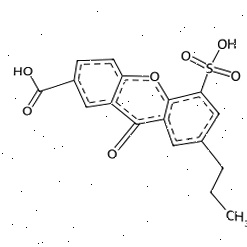 CCCc1cc(S(=O)(=O)O)c2oc3ccc(C(=O)O)cc3c(=O)c2c1